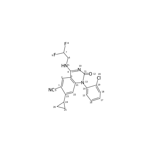 N#Cc1cc2c(NCC(F)F)nc(=O)n(-c3ccccc3Cl)c2cc1C1CC1